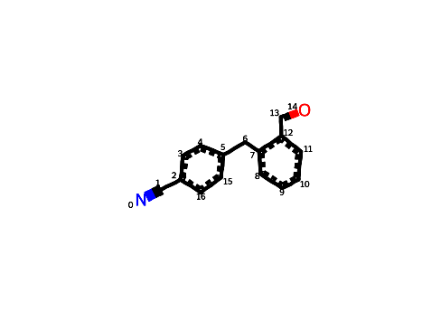 N#Cc1ccc(Cc2ccccc2C=O)cc1